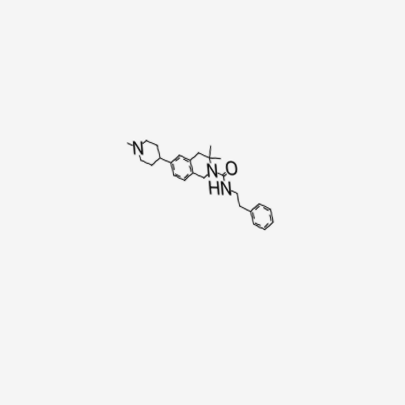 CN1CCC(c2ccc3c(c2)CC(C)(C)N(C(=O)NCCc2ccccc2)C3)CC1